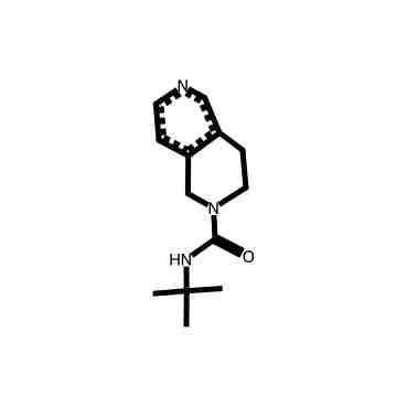 CC(C)(C)NC(=O)N1CCc2cnccc2C1